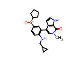 Cn1cc(-c2cc([S+]([O-])C3CCCC3)ccc2NCC2CC2)c2cc[nH]c2c1=O